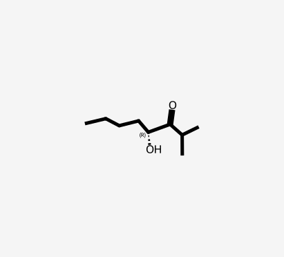 CCCC[C@@H](O)C(=O)C(C)C